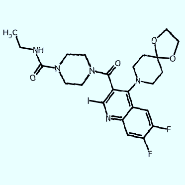 CCNC(=O)N1CCN(C(=O)c2c(I)nc3cc(F)c(F)cc3c2N2CCC3(CC2)OCCO3)CC1